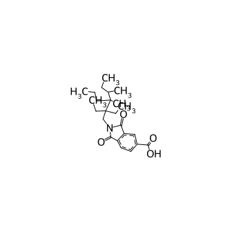 CCCC(C)(C(C)CC)C(CC)(CC)CN1C(=O)c2ccc(C(=O)O)cc2C1=O